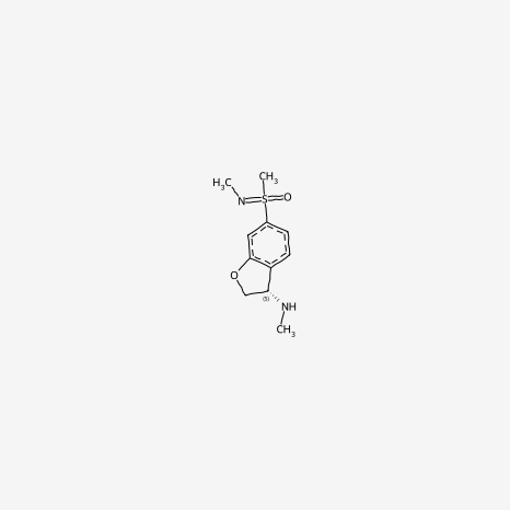 CN=S(C)(=O)c1ccc2c(c1)OC[C@H]2NC